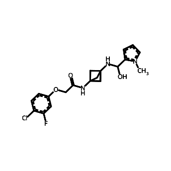 Cn1cccc1C(O)NC12CC(NC(=O)COc3ccc(Cl)c(F)c3)(C1)C2